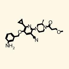 COCCC(=O)N1CCN(c2nc(C3CC3)c(OCc3cccc(N)c3)cc2C#N)C[C@H]1C